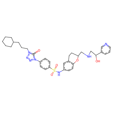 O=c1n(CCCC2CCCCC2)nnn1-c1ccc(S(=O)(=O)Nc2ccc3c(c2)CCC(CNCC(O)c2cccnc2)O3)cc1